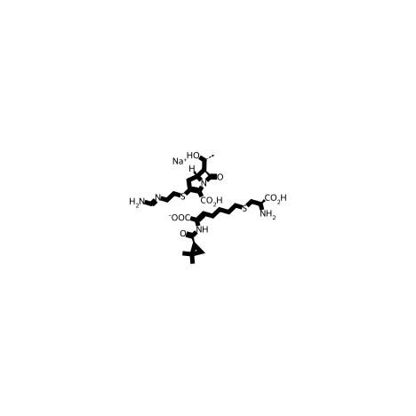 CC1(C)C[C@@H]1C(=O)N/C(=C\CCCCSC[C@H](N)C(=O)O)C(=O)[O-].C[C@@H](O)[C@H]1C(=O)N2C(C(=O)O)=C(SCCN=CN)C[C@H]12.[Na+]